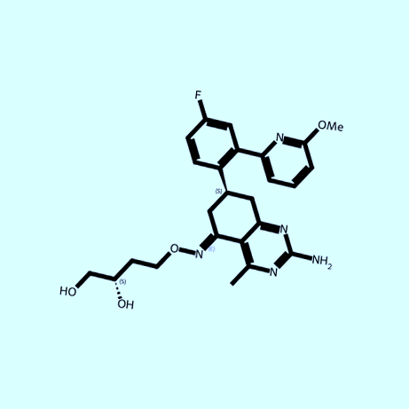 COc1cccc(-c2cc(F)ccc2[C@@H]2C/C(=N\OCC[C@H](O)CO)c3c(C)nc(N)nc3C2)n1